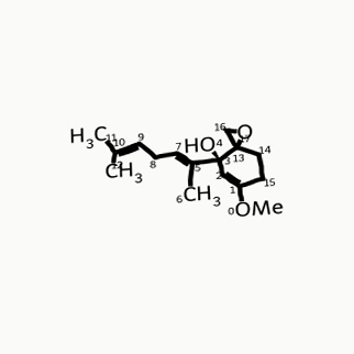 COC1=C[C@](O)(/C(C)=C/CC=C(C)C)C2(CC1)CO2